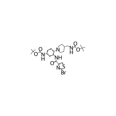 CC(C)(C)OC(=O)NCC1CCN(c2ccc(NC(=O)OC(C)(C)C)cc2NC(=O)c2csc(Br)n2)CC1